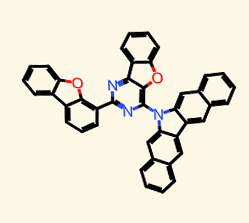 c1ccc2cc3c(cc2c1)c1cc2ccccc2cc1n3-c1nc(-c2cccc3c2oc2ccccc23)nc2c1oc1ccccc12